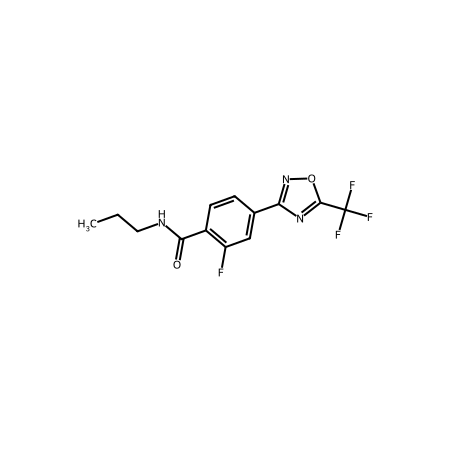 CCCNC(=O)c1ccc(-c2noc(C(F)(F)F)n2)cc1F